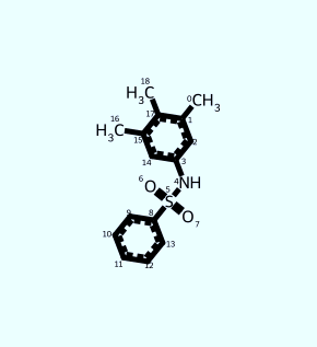 Cc1cc(NS(=O)(=O)c2ccccc2)cc(C)c1C